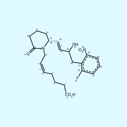 O=C(O)CCC/C=C\CN1C(=O)CCC[C@@H]1/C=C/C(O)Cc1c(F)cccc1[N+](=O)[O-]